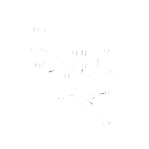 CC(=O)CC(N)=O.C[C@]12CC[C@@H](O)C[C@H]1CC[C@@H]1[C@@H]2C(=O)C[C@@]2(C)[C@H]1CC[C@]2(O)C(=O)CO